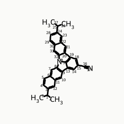 CC(C)c1ccc2cc3c(cc2c1)c1cc(C#N)cc2c4cc5cc(C(C)C)ccc5cc4n3c12